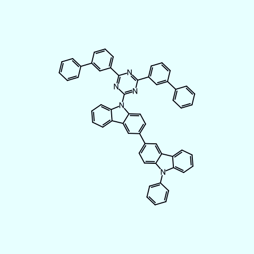 c1ccc(-c2cccc(-c3nc(-c4cccc(-c5ccccc5)c4)nc(-n4c5ccccc5c5cc(-c6ccc7c(c6)c6ccccc6n7-c6ccccc6)ccc54)n3)c2)cc1